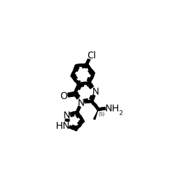 C[C@H](N)c1nc2cc(Cl)ccc2c(=O)n1-c1cc[nH]n1